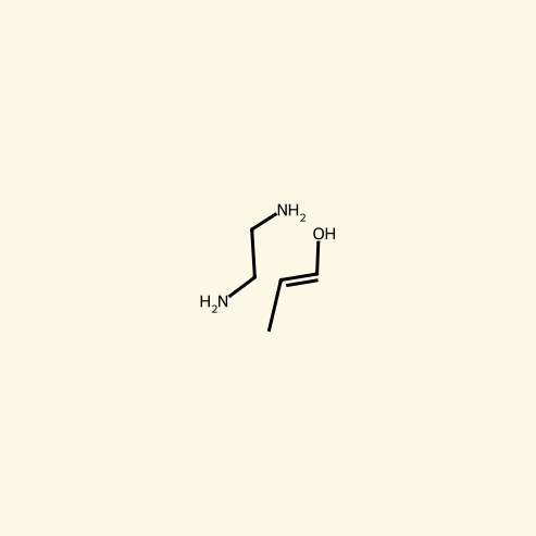 CC=CO.NCCN